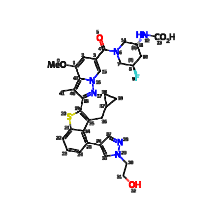 COc1cc(C(=O)N2C[C@H](F)C[C@@H](NC(=O)O)C2)cn2nc(-c3sc4cccc(-c5cnn(CCO)c5)c4c3CC3CC3)c(C)c12